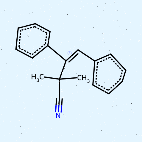 CC(C)(C#N)/C(=C\c1ccccc1)c1ccccc1